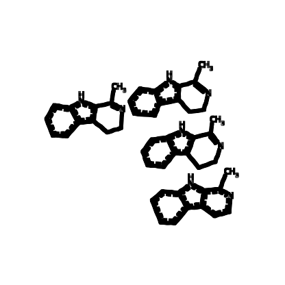 CC1=NCCc2c1[nH]c1ccccc21.CC1=NCCc2c1[nH]c1ccccc21.CC1=NCCc2c1[nH]c1ccccc21.Cc1nccc2c1[nH]c1ccccc12